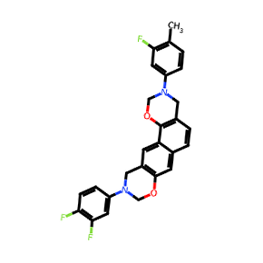 Cc1ccc(N2COc3c(ccc4cc5c(cc34)CN(c3ccc(F)c(F)c3)CO5)C2)cc1F